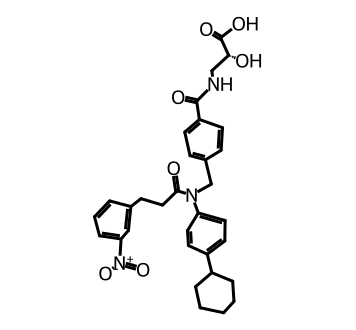 O=C(NC[C@@H](O)C(=O)O)c1ccc(CN(C(=O)CCc2cccc([N+](=O)[O-])c2)c2ccc(C3CCCCC3)cc2)cc1